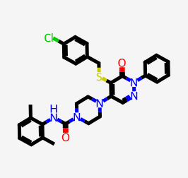 Cc1cccc(C)c1NC(=O)N1CCN(c2cnn(-c3ccccc3)c(=O)c2SCc2ccc(Cl)cc2)CC1